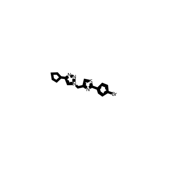 Brc1ccc(-c2nc(Cn3cc(C4CCCC4)nn3)cs2)cc1